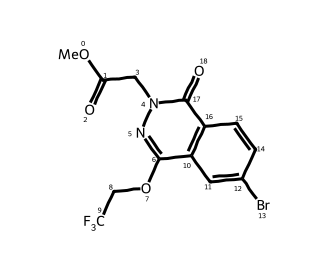 COC(=O)Cn1nc(OCC(F)(F)F)c2cc(Br)ccc2c1=O